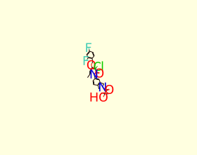 Cc1cc(OCc2ccc(F)cc2F)c(Cl)c(=O)n1-c1ccc2c(c1)CN(C(=O)C(C)(C)O)C2